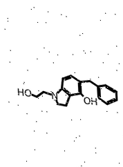 OCCN1CCc2c1ccc(Cc1ccccc1)c2O